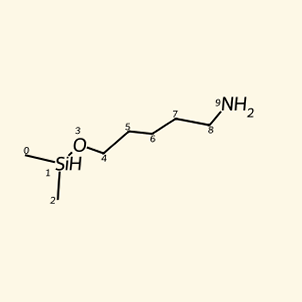 C[SiH](C)OCCCCCN